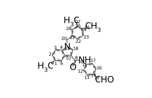 Cc1ccc2c(c1)c(C(=O)Nc1ccc(C=O)cc1)cn2Cc1ccc(C)c(C)c1